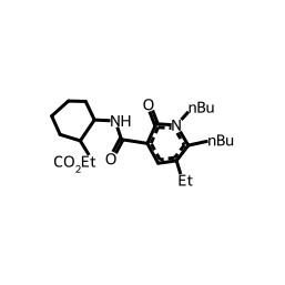 CCCCc1c(CC)cc(C(=O)NC2CCCCC2C(=O)OCC)c(=O)n1CCCC